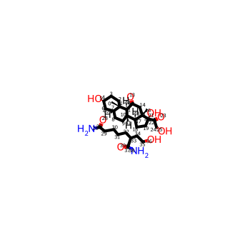 C[C@]12CC[C@@H](O)C[C@H]1CC[C@@H]1[C@@H]2C(=O)C[C@@]2(C)[C@H]1CC[C@]2(O)C(=O)CO.NC(=O)CCCCC(CCO)C(N)=O